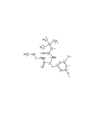 COCNC(=O)C(Cc1cc(F)cc(F)c1)NC(=O)OC(C)(C)C